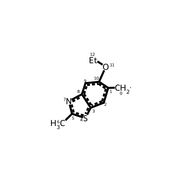 [CH2]c1cc2sc(C)nc2cc1OCC